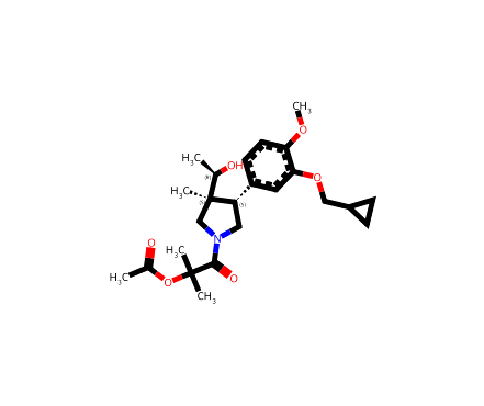 COc1ccc([C@@H]2CN(C(=O)C(C)(C)OC(C)=O)C[C@@]2(C)[C@@H](C)O)cc1OCC1CC1